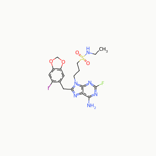 CCNS(=O)(=O)CCCn1c(Cc2cc3c(cc2I)OCO3)nc2c(N)nc(F)nc21